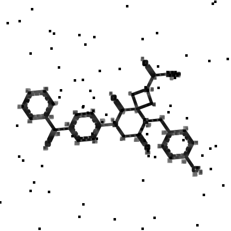 CNC(=O)N1CC2(C1)C(=O)N(c1ccc(C(=O)c3ccccc3)cc1)CC(=O)N2Cc1ccc(C(F)(F)F)cc1